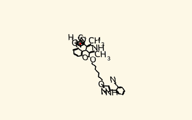 COC(=O)C1=C(C)NC(C)=C(C(=O)OCCCCCCOc2cc(-c3ccccc3C#N)[nH]n2)C1c1ccccc1[N+](=O)[O-]